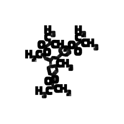 C=C(/C=C(\C=C(/C)c1ccc(OC(=O)C(=C)C)cc1)c1ccc(OC(=O)C(=C)C)cc1)OC(=O)C(=C)C